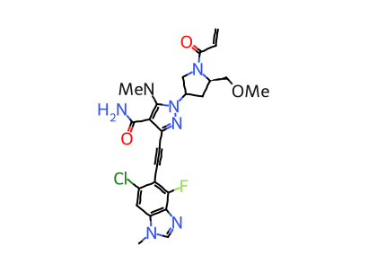 C=CC(=O)N1CC(n2nc(C#Cc3c(Cl)cc4c(ncn4C)c3F)c(C(N)=O)c2NC)C[C@@H]1COC